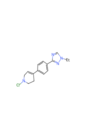 CCn1cnc(-c2ccc(C3=CCN(Cl)CC3)cc2)n1